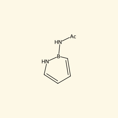 CC(=O)NB1C=CC=CN1